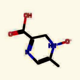 CC1=CN=C(C(=O)O)C[NH+]1[O-]